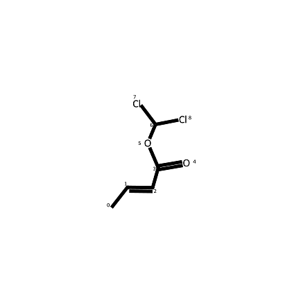 CC=CC(=O)OC(Cl)Cl